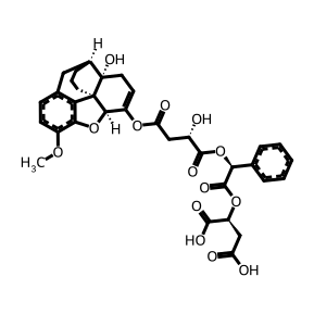 COc1ccc2c3c1O[C@@H]1C(OC(=O)C[C@H](O)C(=O)O[C@H](C(=O)O[C@@H](CC(=O)O)C(=O)O)c4ccccc4)=CC[C@]4(O)[C@@H](CCC[C@@]314)C2